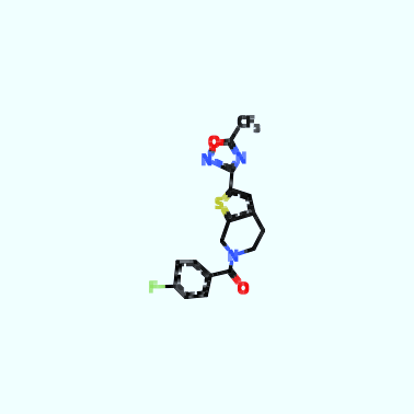 O=C(c1ccc(F)cc1)N1CCc2cc(-c3noc(C(F)(F)F)n3)sc2C1